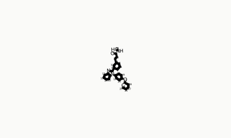 O=C(/C=C/c1cccc(-c2nc3ccccc3n2-c2ccc(Oc3ccccc3)cc2)c1)NO